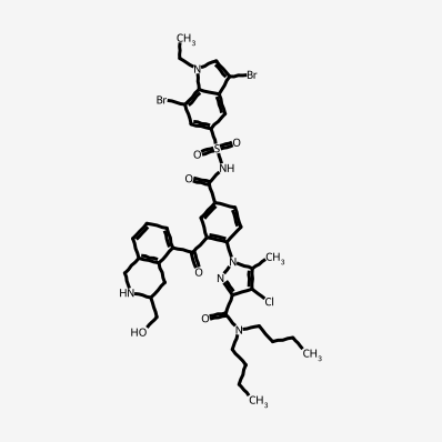 CCCCN(CCCC)C(=O)c1nn(-c2ccc(C(=O)NS(=O)(=O)c3cc(Br)c4c(c3)c(Br)cn4CC)cc2C(=O)c2cccc3c2CC(CO)NC3)c(C)c1Cl